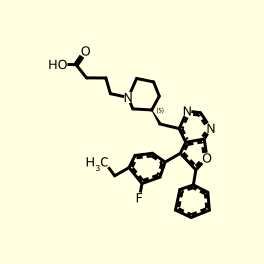 CCc1ccc(-c2c(-c3ccccc3)oc3ncnc(C[C@@H]4CCCN(CCCC(=O)O)C4)c23)cc1F